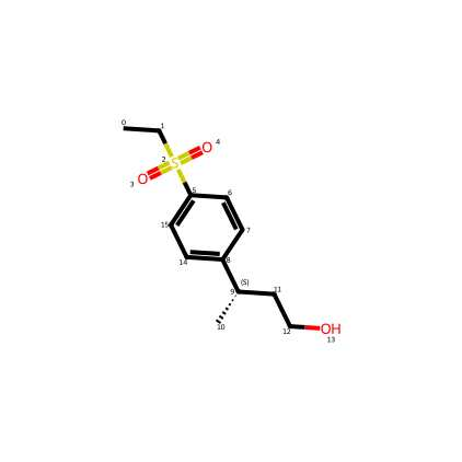 CCS(=O)(=O)c1ccc([C@@H](C)CCO)cc1